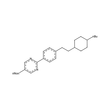 CCCCCCCCCc1cnc(-c2ccc(CCC3CCC(CCCC)CC3)cc2)nc1